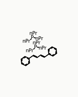 C(/C=C/c1ccccc1)=C\c1ccccc1.CCCP(CCC)CCC.CCCP(CCC)CCC